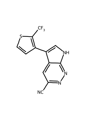 N#Cc1cc2c(-c3ccsc3C(F)(F)F)c[nH]c2nn1